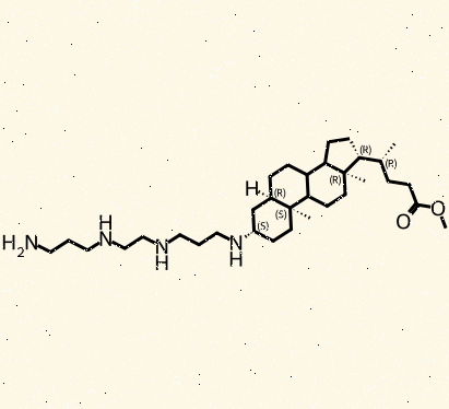 COC(=O)CC[C@@H](C)[C@H]1CCC2C3CC[C@@H]4C[C@@H](NCCCNCCNCCCN)CC[C@]4(C)C3CC[C@@]21C